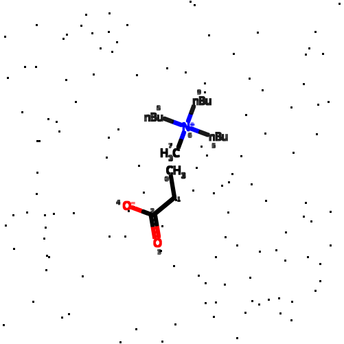 CCC(=O)[O-].CCCC[N+](C)(CCCC)CCCC